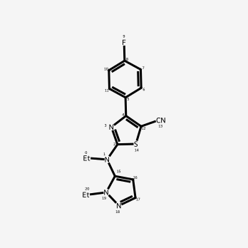 CCN(c1nc(-c2ccc(F)cc2)c(C#N)s1)c1ccnn1CC